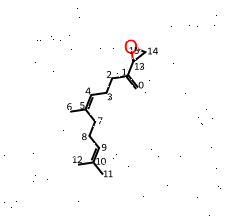 C=C(CCC=C(C)CCC=C(C)C)C1CO1